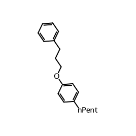 CCCCCc1ccc(OCCCc2ccccc2)cc1